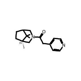 CC1(C)C2CC[C@]1(C)CN(C(=O)Cc1ccncc1)C2